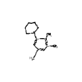 Cc1cc(N2CCCCC2)c(C)c(C(F)(F)F)c1